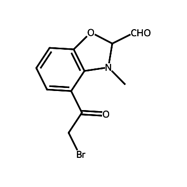 CN1c2c(cccc2C(=O)CBr)OC1C=O